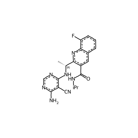 CC(C)NC(=O)c1cc2cccc(F)c2nc1[C@@H](C)Nc1ncnc(N)c1C#N